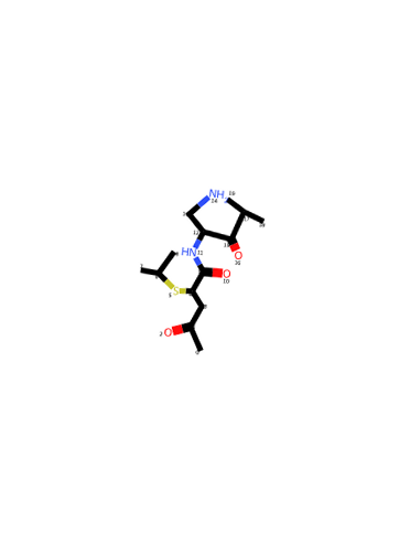 CC(=O)CC(SC(C)C)C(=O)NC(CN)C(=O)C(C)C